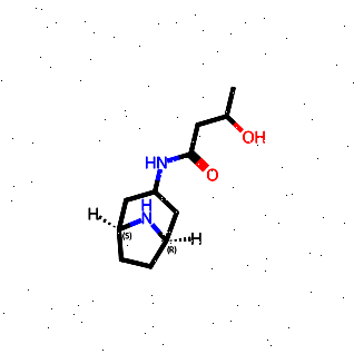 CC(O)CC(=O)NC1C[C@H]2CC[C@@H](C1)N2